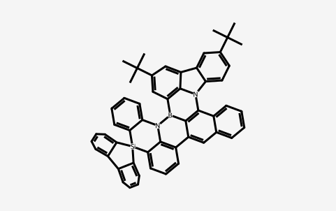 CC(C)(C)c1ccc2c(c1)c1cc(C(C)(C)C)cc3c1n2-c1c2c(cc4ccccc14)-c1cccc4c1N(B23)c1ccccc1[Si]41c2ccccc2-c2ccccc21